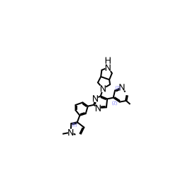 C=C/C(=C\N(C)C)c1cccc(-c2ncc(C(/C=N\C)=C/C(=C)C)c(N3CC4CNCC4C3)n2)c1